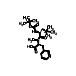 CN(C(=O)[C@@H](C[Si](C)(C)C)NC(=O)OC(C)(C)C)[C@@H](Cc1cccnc1)C(=O)O